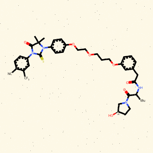 CC(C)(C)C(NC(=O)Cc1cccc(OCCCOCCOc2ccc(N3C(=S)N(c4ccc(C#N)c(C(F)(F)F)c4)C(=O)C3(C)C)cc2)c1)C(=O)N1CC[C@@H](O)C1